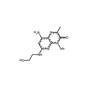 CCCn1c(=O)c(C)nc2c(N)cc(NCCO)nc21